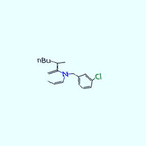 C=C(C(C)CCCC)N(/C=C\C)Cc1cccc(Cl)c1